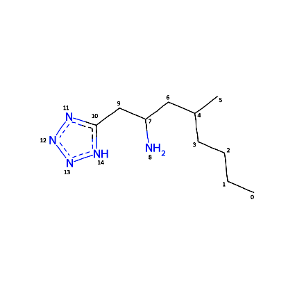 CCCCC(C)CC(N)Cc1nnn[nH]1